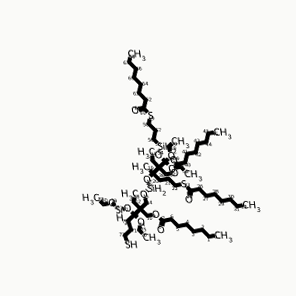 CCCCCCCC(=O)OCC(CC)(CO[SiH2]OC(C)(CCCSC(=O)CCCCCCC)C(CC)(COC(=O)CCCCCCC)C(OCC)(OCC)O[SiH2]CCCSC(=O)CCCCCCC)C(CCCS)(OCC)O[SiH2]OCC